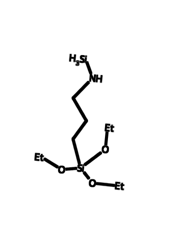 CCO[Si](CCCN[SiH3])(OCC)OCC